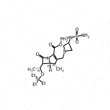 CC[Si](CC)(CC)O[C@H](C)C1C(=O)N2C(C(=O)OP)=C(CN3CC(NS(N)(=O)=O)C3)[C@H](C)[C@H]12